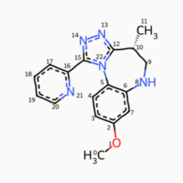 COc1ccc2c(c1)NC[C@@H](C)c1nnc(-c3ccccn3)n1-2